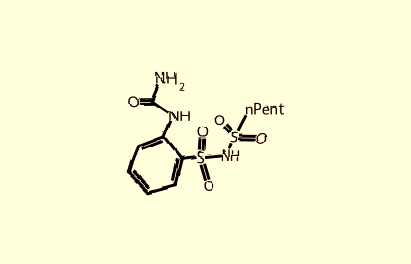 CCCCCS(=O)(=O)NS(=O)(=O)c1ccccc1NC(N)=O